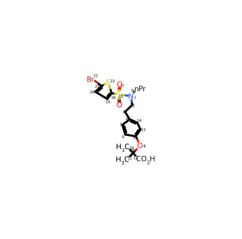 CCCN(CCc1ccc(OC(C)(C)C(=O)O)cc1)S(=O)(=O)c1ccc(Br)s1